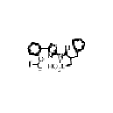 CN(C(=O)C(CC(=O)O)Cc1ccccc1)c1nc(-c2ccccc2OC(F)F)cs1